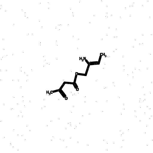 CC=C(N)COC(=O)CC(C)=O